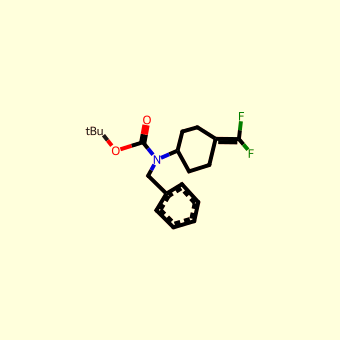 CC(C)(C)OC(=O)N(Cc1ccccc1)C1CCC(=C(F)F)CC1